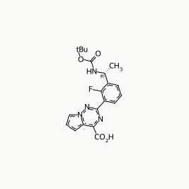 C[C@@H](NC(=O)OC(C)(C)C)c1cccc(-c2nc(C(=O)O)c3cccn3n2)c1F